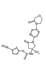 C#Cc1ccc(OC(=O)NC2(C)CC(=O)N(c3ccc(N4CCOCC4=O)cn3)C2)s1